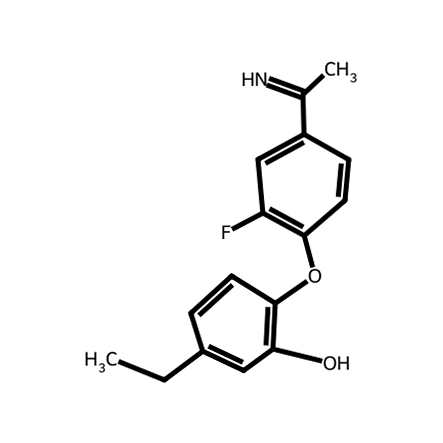 CCc1ccc(Oc2ccc(C(C)=N)cc2F)c(O)c1